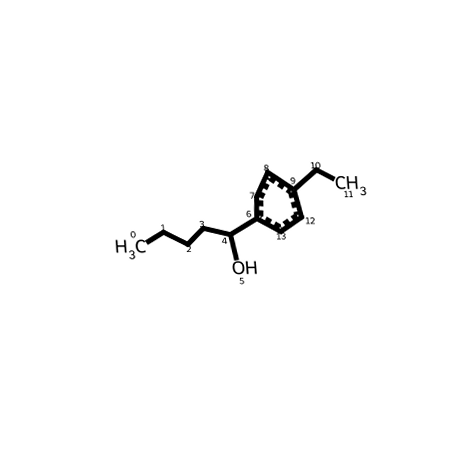 CCCCC(O)c1ccc(CC)cc1